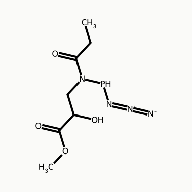 CCC(=O)N(CC(O)C(=O)OC)PN=[N+]=[N-]